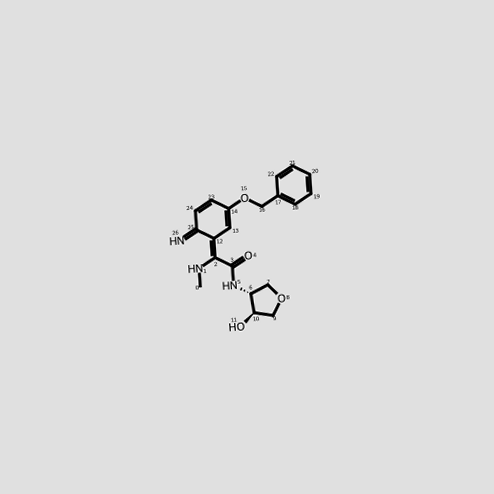 CN/C(C(=O)N[C@@H]1COC[C@H]1O)=C1/C=C(OCc2ccccc2)C=CC1=N